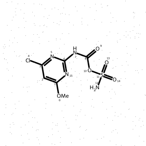 COc1cc(Cl)nc(NC(=O)OS(N)(=O)=O)n1